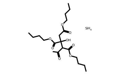 CCCCOC(=O)CC(O)(C(=O)OCCCC)C(C(C)=O)C(=O)OCCCC.[SiH4]